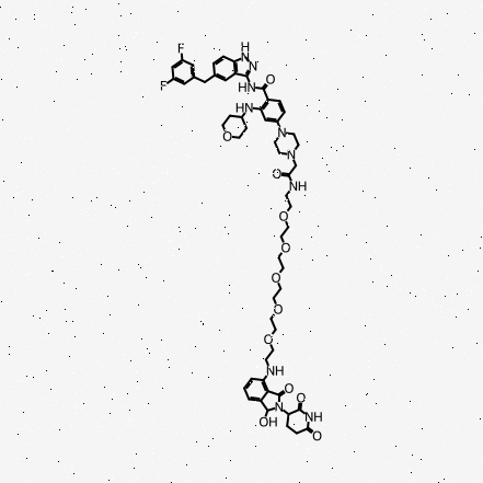 O=C(CN1CCN(c2ccc(C(=O)Nc3n[nH]c4ccc(Cc5cc(F)cc(F)c5)cc34)c(NC3CCOCC3)c2)CC1)NCCOCCOCCOCCOCCOCCNc1cccc2c1C(=O)N(C1CCC(=O)NC1=O)C2O